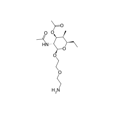 CC[C@H]1O[C@@H](OCCOCCN)[C@H](NC(C)=O)[C@@H](OC(C)=O)[C@H]1C